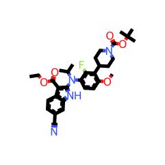 CCOC(=O)c1c(N(c2ccc(OC)c(C3CCN(C(=O)OC(C)(C)C)CC3)c2F)C(C)C)[nH]c2cc(C#N)ccc12